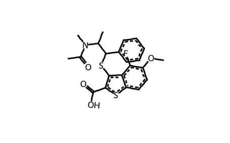 COc1ccc2sc(C(=O)O)c(SC(c3ccccc3)C(C)N(C)C(C)=O)c2c1F